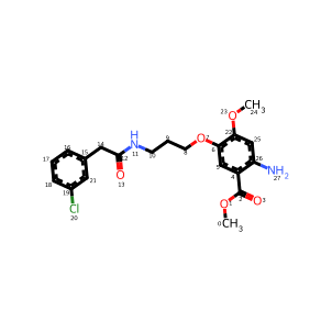 COC(=O)c1cc(OCCCNC(=O)Cc2cccc(Cl)c2)c(OC)cc1N